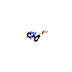 OCCSc1ccccc1-c1nnc2ccc(F)cn12